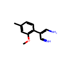 COc1cc(C)ccc1/C(C=N)=C/N